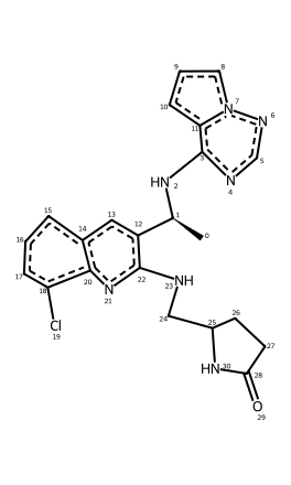 C[C@H](Nc1ncnn2cccc12)c1cc2cccc(Cl)c2nc1NCC1CCC(=O)N1